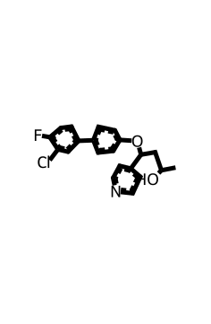 CC(O)CC(Oc1ccc(-c2ccc(F)c(Cl)c2)cc1)c1ccncc1